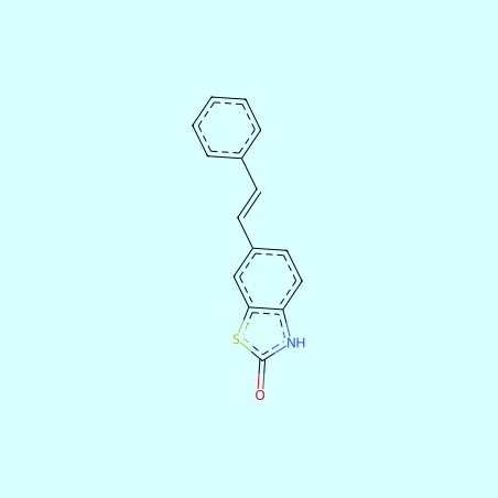 O=c1[nH]c2ccc(/C=C/c3ccccc3)cc2s1